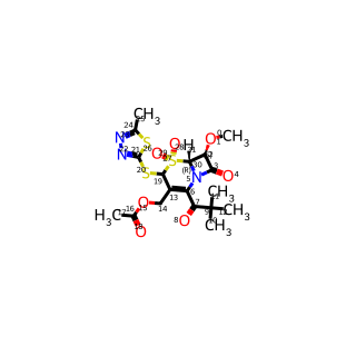 CO[C@H]1C(=O)N2C(C(=O)C(C)(C)C)=C(COC(C)=O)C(Sc3nnc(C)s3)S(=O)(=O)[C@H]12